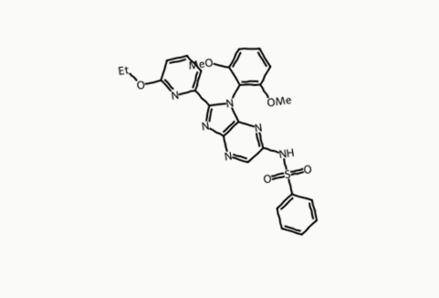 CCOc1cccc(-c2nc3ncc(NS(=O)(=O)c4ccccc4)nc3n2-c2c(OC)cccc2OC)n1